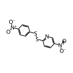 O=[N+]([O-])c1ccc(SSc2ccc([N+](=O)[O-])cn2)cc1